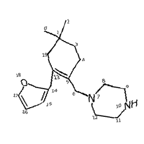 CC1(C)CCC(CN2CCNCC2)=C(c2ccco2)C1